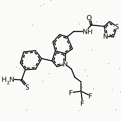 NC(=S)c1cccc(-c2cn(CCCC(F)(F)F)c3cc(CNC(=O)c4cscn4)ccc23)c1